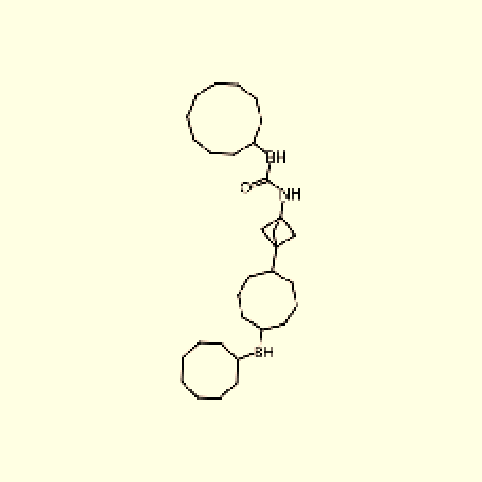 O=C(BC1CCCCCCCCC1)NC12CC(C3CCCC(BC4CCCCCCC4)CCC3)(C1)C2